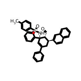 Cc1ccc(S(=O)(=O)N[C@@]2(c3ccccc3)C=C(c3ccccc3)C[C@H](c3ccc4ccccc4c3)[C@H]2C=O)cc1